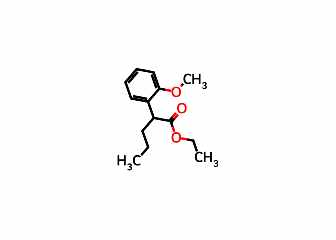 CCCC(C(=O)OCC)c1ccccc1OC